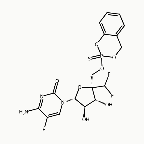 Nc1nc(=O)n([C@@H]2O[C@@](COP3(=S)OCc4ccccc4O3)(C(F)F)[C@H](O)[C@H]2O)cc1F